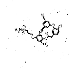 Cc1cc(OCCCS(N)(=O)=O)ccc1NC(=O)Cc1ccc(Cl)c(Oc2cc(C#N)cc(C#N)c2)c1